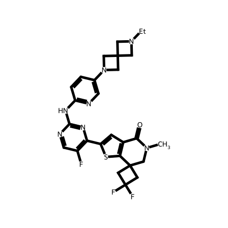 CCN1CC2(C1)CN(c1ccc(Nc3ncc(F)c(-c4cc5c(s4)C4(CN(C)C5=O)CC(F)(F)C4)n3)nc1)C2